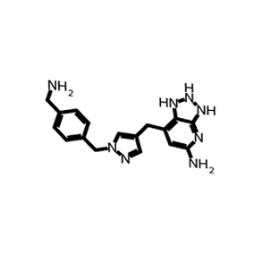 NCc1ccc(Cn2cc(Cc3cc(N)nc4c3NNN4)cn2)cc1